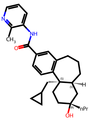 CCC[C@@]1(O)CC[C@@]2(CC3CC3)c3ccc(C(=O)Nc4cccnc4C)cc3CCC[C@H]2C1